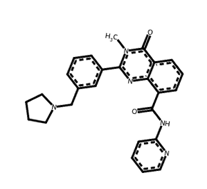 Cn1c(-c2cccc(CN3CCCC3)c2)nc2c(C(=O)Nc3ccccn3)cccc2c1=O